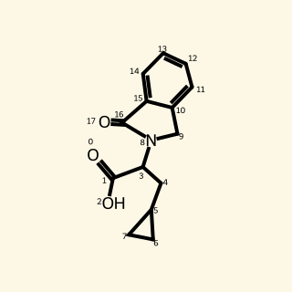 O=C(O)C(CC1CC1)N1Cc2ccccc2C1=O